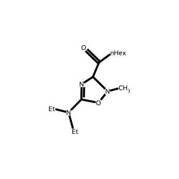 CCCCCCC(=O)C1N=C(N(CC)CC)ON1C